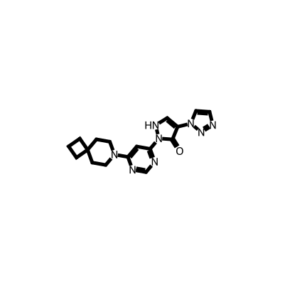 O=c1c(-n2ccnn2)c[nH]n1-c1cc(N2CCC3(CCC3)CC2)ncn1